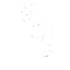 Nc1nc2c(ncn2[C@@H]2O[C@@H]3COP(=O)(S)O[C@@H]4[C@@H](COP(=O)(S)O[C@@H]2[C@@H]3O)C[C@@H](Nc2ccncn2)[C@@H]4F)c(=O)[nH]1